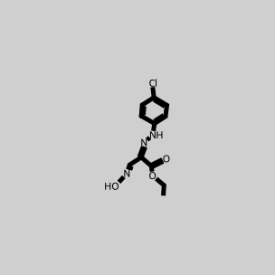 CCOC(=O)C(C=NO)=NNc1ccc(Cl)cc1